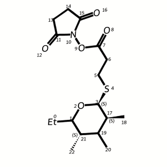 CCC1O[C@@H](SCCC(=O)ON2C(=O)CCC2=O)[C@@H](C)C(C)[C@@H]1C